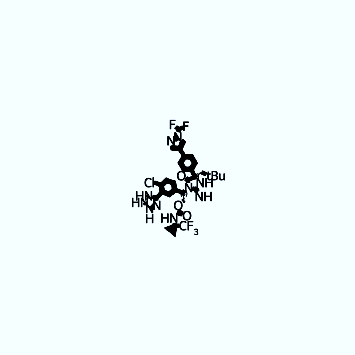 CC(C)(C)C[C@]1(c2ccc(-c3cnn(C(F)F)c3)cc2)NC(=N)N([C@H](COC(=O)NC2(C(F)(F)F)CC2)c2ccc(Cl)c(C3=NNNN3)c2)C1=O